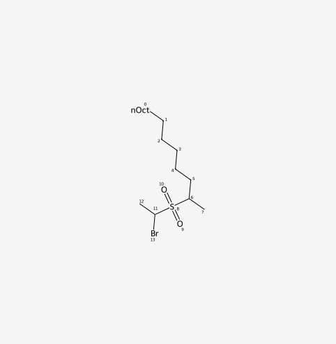 CCCCCCCCCCCCCC(C)S(=O)(=O)C(C)Br